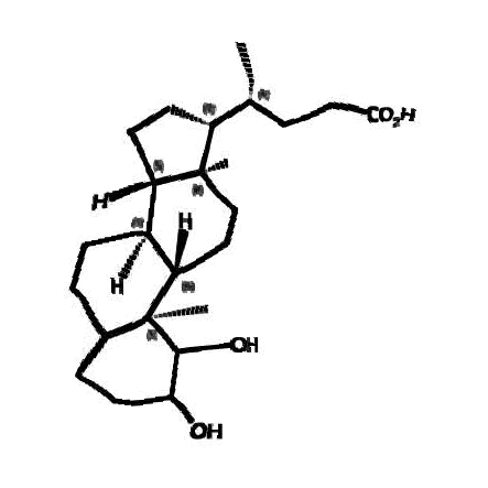 C[C@H](CCC(=O)O)[C@H]1CC[C@H]2[C@@H]3CCC4CCC(O)C(O)[C@]4(C)[C@H]3CC[C@]12C